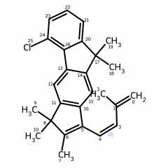 C=C(C)/C=C\C1=C(C)C(C)(C)c2cc3c(cc21)C(C)(C)c1cccc(Cl)c1-3